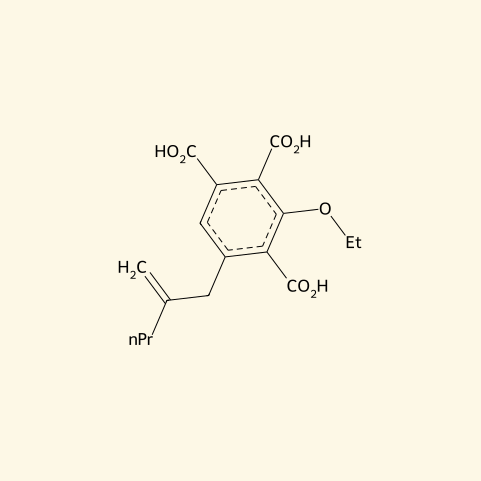 C=C(CCC)Cc1cc(C(=O)O)c(C(=O)O)c(OCC)c1C(=O)O